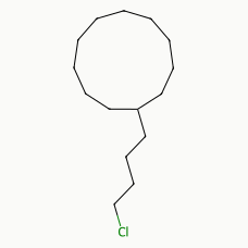 ClCCCCC1CCCCCCCCCC1